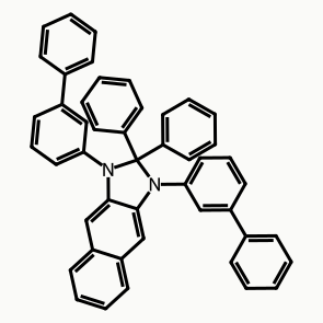 c1ccc(-c2cccc(N3c4cc5ccccc5cc4N(c4cccc(-c5ccccc5)c4)C3(c3ccccc3)c3ccccc3)c2)cc1